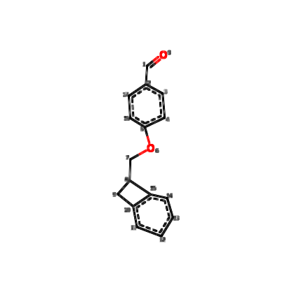 O=Cc1ccc(OCC2Cc3ccccc32)cc1